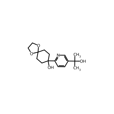 CC(C)(O)c1ccc(C2(O)CCC3(CC2)OCCO3)nc1